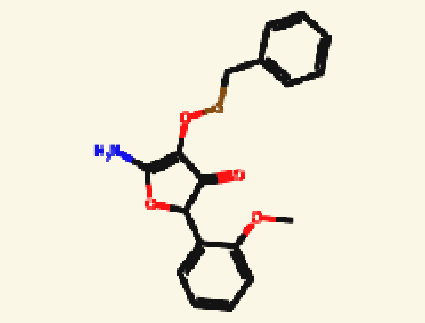 COc1ccccc1C1OC(N)=C(OSCc2ccccc2)C1=O